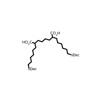 CCCCCCCCCCCCCCCCC(CCCCC(CCCCCCCCCCCCCCCC)C(=O)O)C(=O)O